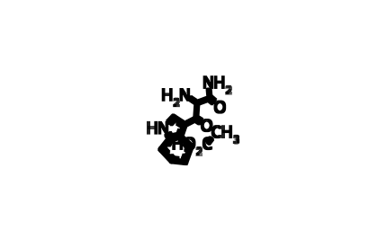 CC(=O)O.NC(=O)C(N)C(=O)c1c[nH]c2ccccc12